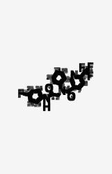 O=C(CN(C(=O)c1ccc(C(F)(F)F)nc1)c1ccccc1)Nc1ccc(F)cc1